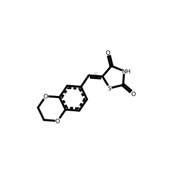 O=C1NC(=O)/C(=C/c2ccc3c(c2)OCCO3)S1